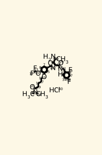 C[C@H](N)c1oc(-c2ccc(OC(F)F)c(OCCCCC(=O)N(C)C)c2)nc1C(=O)NCc1ccc(F)cc1F.Cl